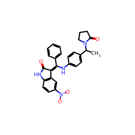 CC(c1ccc(NC(=C2C(=O)Nc3ccc([N+](=O)[O-])cc32)c2ccccc2)cc1)N1CCCC1=O